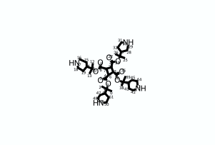 CC(C)(OC(=O)C1C(C(=O)OC(C)(C)C2CCNCC2)C(C(=O)OC(C)(C)C2CCNCC2)C1C(=O)OC(C)(C)C1CCNCC1)C1CCNCC1